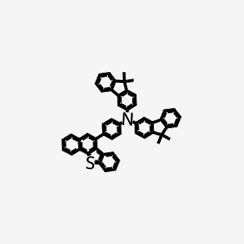 CC1(C)c2ccccc2-c2cc(N(c3ccc(-c4cc5ccccc5c5sc6ccccc6c45)cc3)c3ccc4c(c3)-c3ccccc3C4(C)C)ccc21